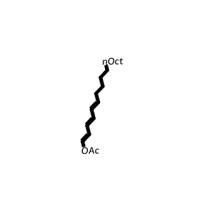 CCCCCCCCCCCCC=CC=CC=COC(C)=O